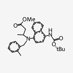 COC(=O)CC(C)N(Cc1ccccc1C)c1ccc(NC(=O)OC(C)(C)C)c2ccccc12